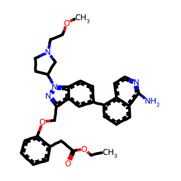 CCOC(=O)Cc1ccccc1OCc1nn(C2CCN(CCOC)C2)c2ccc(-c3cccc4c(N)nccc34)cc12